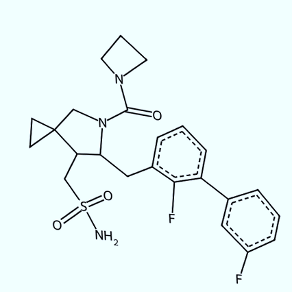 NS(=O)(=O)CC1C(Cc2cccc(-c3cccc(F)c3)c2F)N(C(=O)N2CCC2)CC12CC2